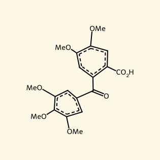 COc1cc(C(=O)O)c(C(=O)c2cc(OC)c(OC)c(OC)c2)cc1OC